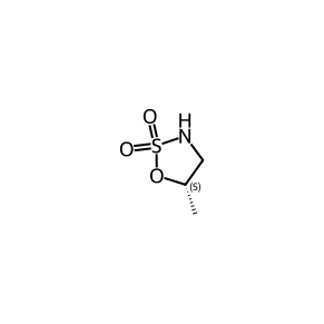 C[C@H]1CNS(=O)(=O)O1